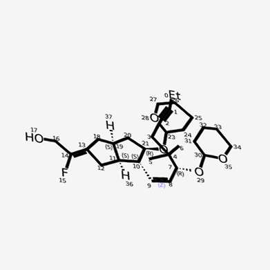 CCC#CCC(C)(C)[C@@H](/C=C\[C@@H]1[C@H]2CC(=C(F)CO)C[C@H]2C[C@H]1OC1CCCCO1)OC1CCCCO1